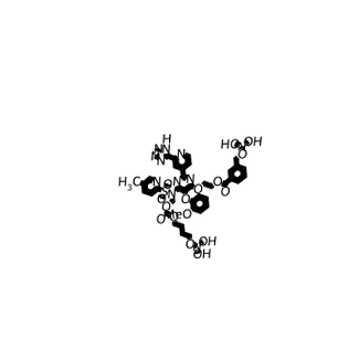 COc1ccccc1Oc1c(OCCOC(=O)c2cccc(CON(O)O)c2)nc(-c2ccnc(-c3nnn[nH]3)c2)nc1N(COC(=O)OCCCCON(O)O)S(=O)(=O)c1ccc(C)cn1